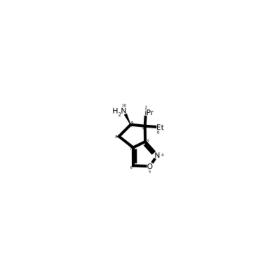 CCC1(C(C)C)c2nocc2C[C@H]1N